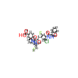 O=C(Nc1cc(F)c(CC(=O)C(OC2CCC(C(=O)O)CC2)(N2CCCC2)N2CC(CF)C2)cc1Cl)c1coc2ccccc12